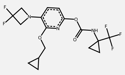 O=C(NC1(C(F)(F)F)CC1)Oc1ccc(N2CC(F)(F)C2)c(OCC2CC2)n1